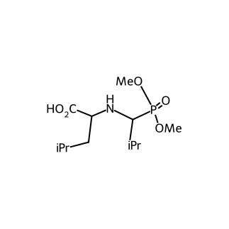 COP(=O)(OC)C(NC(CC(C)C)C(=O)O)C(C)C